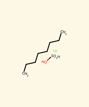 CCCCCCCC.F.O=S(=O)(O)O